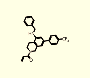 C=CC(=O)N1CCc2c(cc(-c3ccc(C(F)(F)F)cc3)cc2NCc2ccccc2)C1